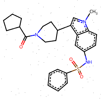 Cn1cc(C2CCN(C(=O)C3CCCC3)CC2)c2cc(NS(=O)(=O)c3ccccc3)ccc21